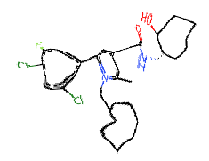 Cc1c(C(=O)N[C@H]2CCCC[C@@H]2O)cc(-c2cc(F)c(Cl)cc2Cl)n1CC1CCCCC1